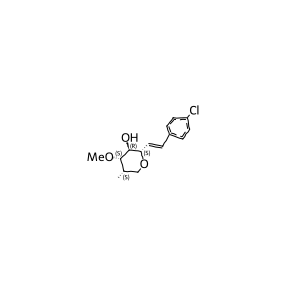 CO[C@@H]1[C@@H](O)[C@H](C=Cc2ccc(Cl)cc2)OC[C@@H]1C